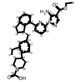 CCOC(=O)c1cnn(-c2cccc(-c3cccc4c3[C@@H](Cc3ccc(C5CCN(C(=O)O)CC5)c(CC)c3)CC4)n2)c1N